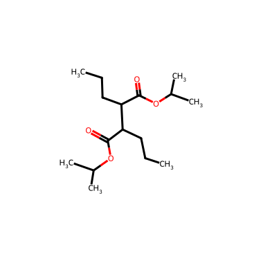 CCCC(C(=O)OC(C)C)C(CCC)C(=O)OC(C)C